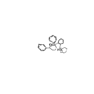 c1ccc(C2CCC[Si](c3ccccc3)(c3ccccc3C[SiH]3CCCCO3)O2)cc1